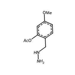 COc1ccc(CNN)c(OC(C)=O)c1